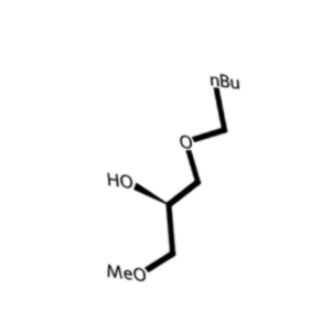 CCCCCOC[C@H](O)COC